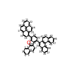 c1ccc2c(c1)ccc1c2oc2c(-c3ccc4ccc5cccc6ccc3c4c56)ccc(-c3cc4ccccc4c4c3ccc3ccccc34)c21